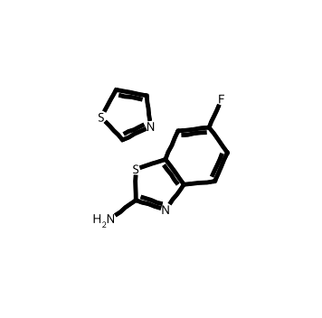 Nc1nc2ccc(F)cc2s1.c1cscn1